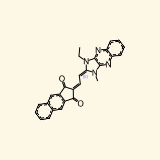 CCN1/C(=C/C=C2C(=O)c3cc4ccccc4cc3C2=O)N(C)c2nc3ccccc3nc21